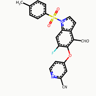 Cc1ccc(S(=O)(=O)n2ccc3c(C=O)c(Oc4ccnc(C#N)c4)c(F)cc32)cc1